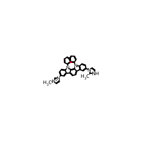 CC1NC=CN1c1ccc2c(c1)c1ccc3c4cc(-n5cc[n+](C)c5)ccc4n(-c4ccccc4)c3c1n2-c1ccccc1